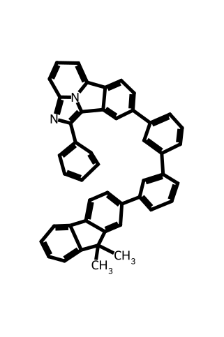 CC1(C)c2ccccc2-c2ccc(-c3cccc(-c4cccc(-c5ccc6c(c5)c5c(-c7ccccc7)nc7cccc6n75)c4)c3)cc21